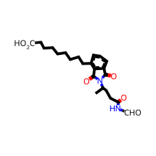 CC(CCC(=O)NC=O)N1C(=O)c2cccc(CCCCCCCCC(=O)O)c2C1=O